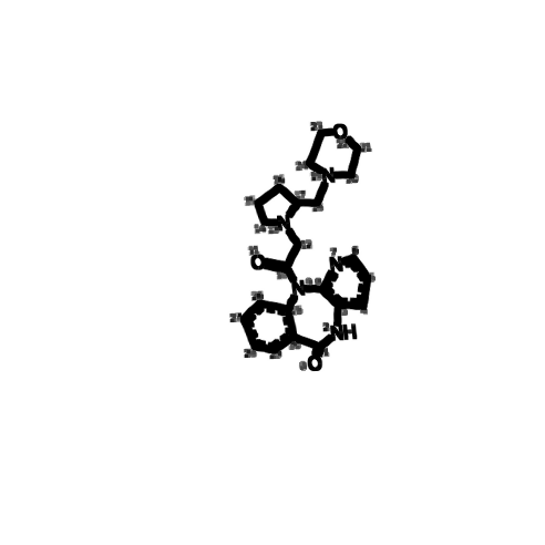 O=C1Nc2cccnc2N(C(=O)CN2CCCC2CN2CCOCC2)c2ccccc21